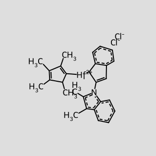 CC1=C(C)C(C)[C]([Hf+2][CH]2C(n3c(C)c(C)c4ccccc43)=Cc3ccccc32)=C1C.[Cl-].[Cl-]